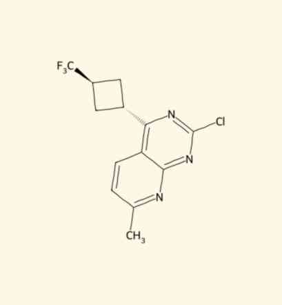 Cc1ccc2c(n1)nc(Cl)nc2[C@H]1C[C@H](C(F)(F)F)C1